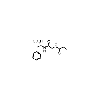 O=C(CI)NCC(=O)NC(Cc1ccccc1)C(=O)O